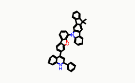 CC1(C)c2ccccc2-c2cc3c(cc21)c1ccccc1n3-c1cccc2c1oc1cc(C3=CC(c4ccccc4)Nc4ccccc43)ccc12